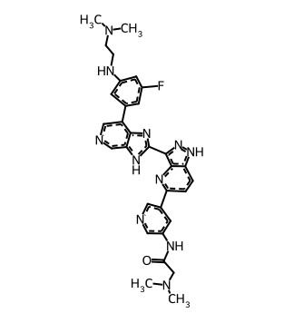 CN(C)CCNc1cc(F)cc(-c2cncc3[nH]c(-c4n[nH]c5ccc(-c6cncc(NC(=O)CN(C)C)c6)nc45)nc23)c1